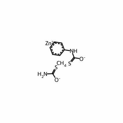 C.NC([O-])=S.[O-]C(=S)Nc1ccccc1.[Zn+2]